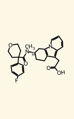 CN(C(=O)C1(c2ccc(F)cc2)CCOCC1)[C@@H]1CCc2c(CC(=O)O)c3ccccn3c2C1